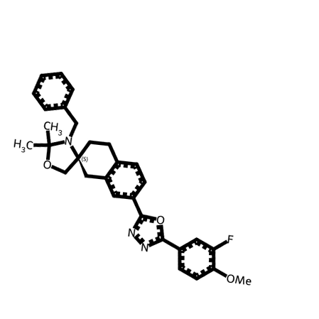 COc1ccc(-c2nnc(-c3ccc4c(c3)C[C@@]3(CC4)COC(C)(C)N3Cc3ccccc3)o2)cc1F